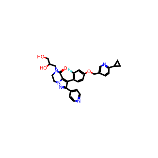 O=C1c2c(-c3ccc(OCc4ccc(C5CC5)nc4)cc3F)c(-c3ccncc3)nn2CCN1CC(O)CO